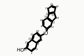 Oc1ccc2cc(Oc3ccc4c(c3)CC3=C4CC=C3)ccc2c1